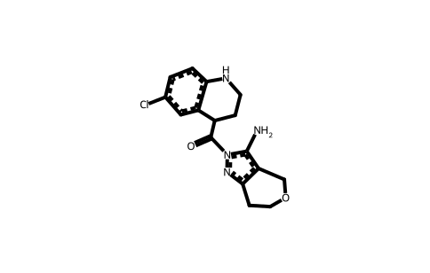 Nc1c2c(nn1C(=O)C1CCNc3ccc(Cl)cc31)CCOC2